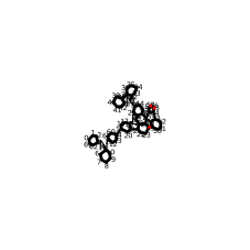 c1ccc(N(c2ccccc2)c2ccc(-c3ccc4c(c3)-c3cccc5c3B4c3cc(-n4c6ccccc6c6ccccc64)ccc3C53c4ccccc4-c4ccccc43)cc2)cc1